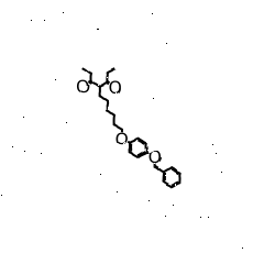 CCC(=O)C(CCCCCCOc1ccc(OCc2ccccc2)cc1)C(=O)CC